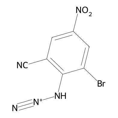 N#Cc1cc([N+](=O)[O-])cc(Br)c1N[N+]#N